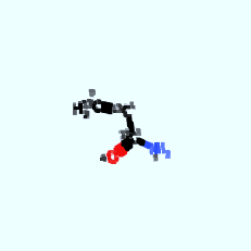 [13CH2]=[13CH][13C](N)=O